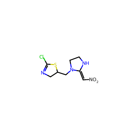 O=[N+]([O-])/C=C1\NCCN1CC1CN=C(Cl)S1